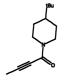 CC#CC(=O)N1CCC(C(C)(C)C)CC1